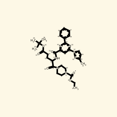 CCOC(=O)N1CCN(C(=O)C(CCC(=O)OC(C)(C)C)NC(=O)c2cc(-n3ccc(C)n3)nc(-c3ccccc3)n2)CC1